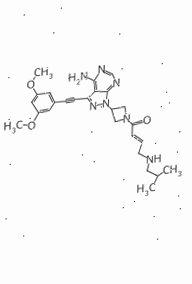 COc1cc(C#Cc2nn(C3CN(C(=O)C=CCNCC(C)C)C3)c3ncnc(N)c23)cc(OC)c1